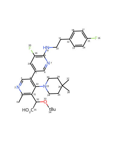 Cc1ncc(-c2cnc(NCCc3ccc(F)cc3)c(F)c2)c(N2CCC(C)(C)CC2)c1C(OC(C)(C)C)C(=O)O